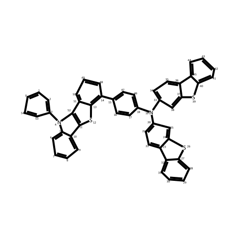 c1ccc(-n2c3ccccc3c3sc4c(-c5ccc(N(c6ccc7c(c6)sc6ccccc67)c6ccc7c(c6)sc6ccccc67)cc5)cccc4c32)cc1